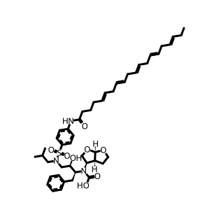 CCC=CCC=CCC=CCC=CCC=CCCCC(=O)Nc1ccc(S(=O)(=O)N(CC(C)C)C[C@@H](O)[C@H](Cc2ccccc2)N(C(=O)O)[C@H]2CO[C@H]3OCC[C@H]32)cc1